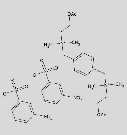 CC(=O)OCC[N+](C)(C)Cc1ccc(C[N+](C)(C)CCOC(C)=O)cc1.O=[N+]([O-])c1cccc(S(=O)(=O)[O-])c1.O=[N+]([O-])c1cccc(S(=O)(=O)[O-])c1